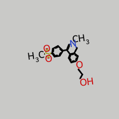 CN1C=C(c2ccc(S(C)(=O)=O)cc2)c2ccc(OCCCO)cc2C1